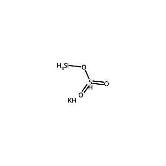 O=[SH](=O)O[SiH3].[KH]